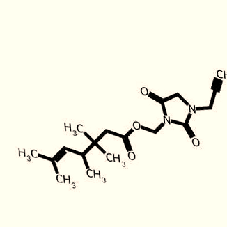 C#CCN1CC(=O)N(COC(=O)CC(C)(C)C(C)C=C(C)C)C1=O